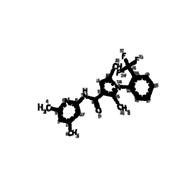 Cc1cc(C)nc(NC(=O)c2cc(C)n(-c3ccccc3C(F)(F)F)c2C)c1